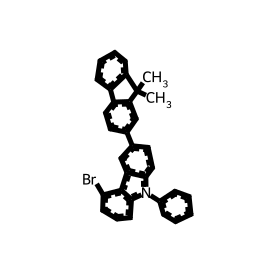 CC1(C)c2ccccc2-c2ccc(-c3ccc4c(c3)c3c(Br)cccc3n4-c3ccccc3)cc21